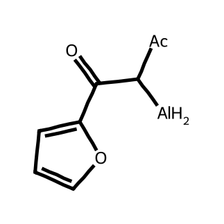 CC(=O)[CH]([AlH2])C(=O)c1ccco1